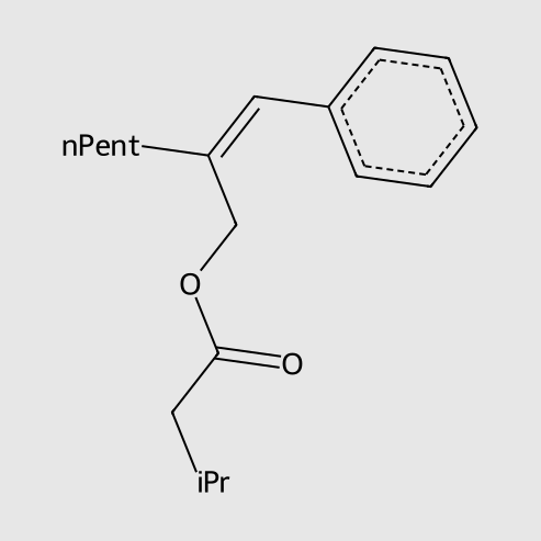 CCCCC/C(=C/c1ccccc1)COC(=O)CC(C)C